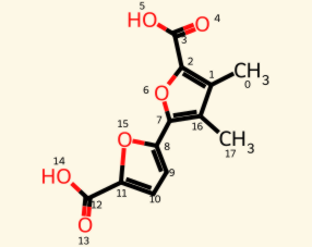 Cc1c(C(=O)O)oc(-c2ccc(C(=O)O)o2)c1C